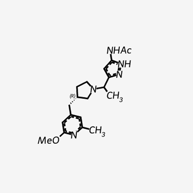 COc1cc(C[C@@H]2CCN(C(C)c3cc(NC(C)=O)[nH]n3)C2)cc(C)n1